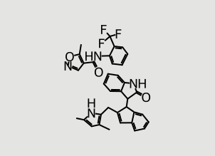 Cc1cc(C)c(CC2=Cc3ccccc3C2C2C(=O)Nc3ccccc32)[nH]1.Cc1oncc1C(=O)Nc1ccccc1C(F)(F)F